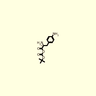 CC(C)(C)OC(=O)OC(=O)[C@@H](N)Cc1ccc(N)cc1